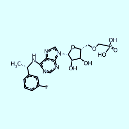 C[C@H](Nc1ncnc2c1ncn2[C@@H]1O[C@H](COCP(=O)(O)O)[C@@H](O)[C@H]1O)c1cccc(F)c1